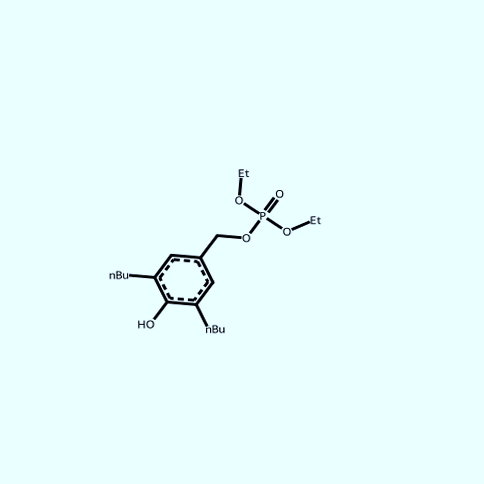 CCCCc1cc(COP(=O)(OCC)OCC)cc(CCCC)c1O